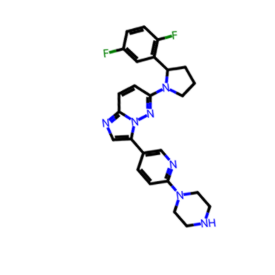 Fc1ccc(F)c(C2CCCN2c2ccc3ncc(-c4ccc(N5CCNCC5)nc4)n3n2)c1